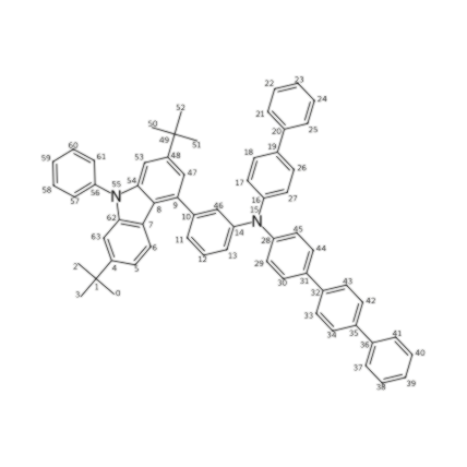 CC(C)(C)c1ccc2c3c(-c4cccc(N(c5ccc(-c6ccccc6)cc5)c5ccc(-c6ccc(-c7ccccc7)cc6)cc5)c4)cc(C(C)(C)C)cc3n(-c3ccccc3)c2c1